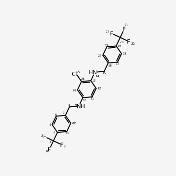 FC(F)(F)c1ccc(CNc2ccc(NCc3ccc(C(F)(F)F)cc3)c(Cl)c2)cc1